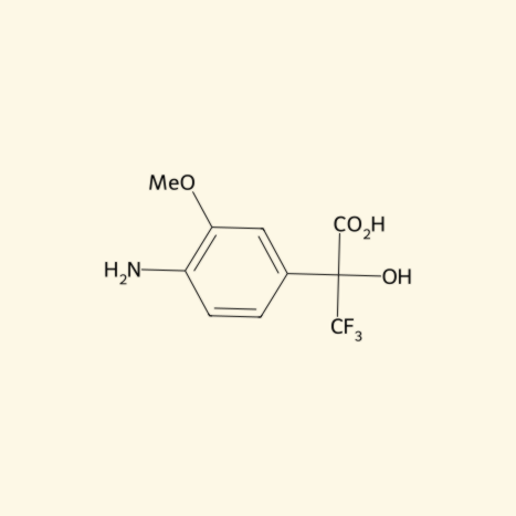 COc1cc(C(O)(C(=O)O)C(F)(F)F)ccc1N